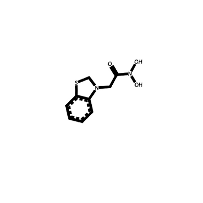 O=C(CN1CSc2ccccc21)N(O)O